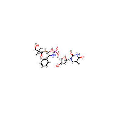 CC1CN([C@@H]2CC(O)[C@H](COP(=O)(NCc3ccccc3)OCSC(=O)C(C)(C)CO)O2)C(=O)NC1=O